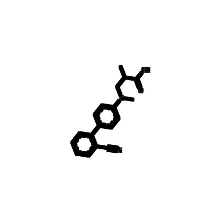 CC(CN(C)c1ccc(-c2ccccc2C#N)cc1)C(=O)O